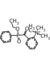 CCOP(=O)(C(=O)c1ccccc1[N+](C)(C)C)c1ccccc1